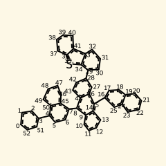 c1ccc(-c2ccc(-c3c4ccccc4c(-c4ccc5ccccc5c4)c4cc(-c5cccc6c5sc5ccccc56)ccc34)c3ccccc23)cc1